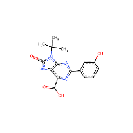 CC(C)(C)n1c(=O)[nH]c2c(C(=O)O)nc(-c3cccc(O)c3)nc21